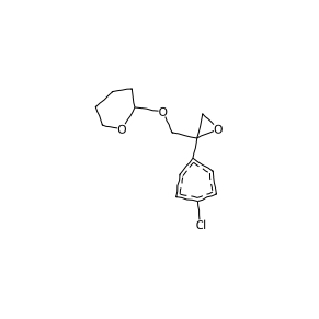 Clc1ccc(C2(COC3CCCCO3)CO2)cc1